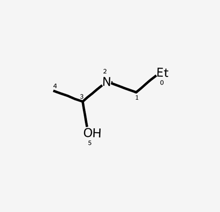 CCC[N]C(C)O